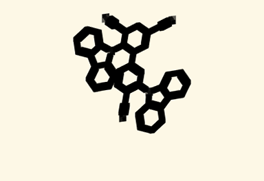 N#CC1=CC(c2ccc(C#N)c(-n3c4c(c5ccccc53)CCC=C4)c2)C(n2c3ccccc3c3ccccc32)C(C#N)C1